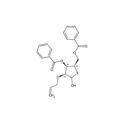 C=CCO[C@@H]1C(O)S[C@H](COC(=O)c2ccccc2)[C@@H]1OC(=O)c1ccccc1